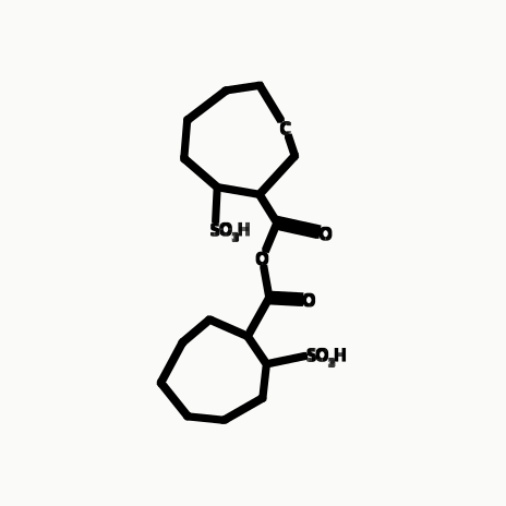 O=C(OC(=O)C1CCCCCCC1S(=O)(=O)O)C1CCCCCCC1S(=O)(=O)O